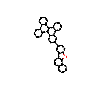 c1ccc2c(c1)ccc1c3cc(-c4ccc5c(c4)c4ccccc4c4c6ccccc6c6ccccc6c54)ccc3oc21